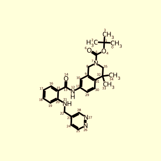 CC(C)(C)OC(=O)N1Cc2cc(NC(=O)c3ccccc3NCc3ccnnc3)ccc2C(C)(C)C1